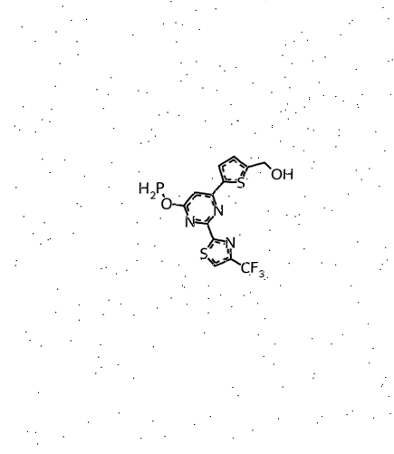 OCc1ccc(-c2cc(OP)nc(-c3nc(C(F)(F)F)cs3)n2)s1